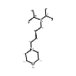 CC(C)N(CCCCN1CCOCC1)C(C)C